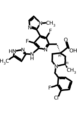 Cc1cc(Nc2nc(C[C@@]3(C(=O)O)CCN(Cc4cccc(Cl)c4F)[C@H](C)C3)c(F)c(-c3nccn3C)c2F)n[nH]1